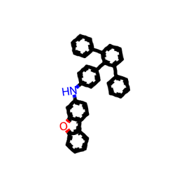 c1ccc(-c2cccc(-c3ccccc3)c2-c2ccc(Nc3ccc4c(c3)oc3ccccc34)cc2)cc1